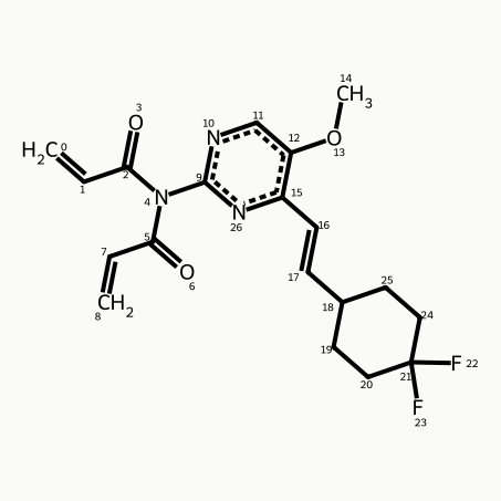 C=CC(=O)N(C(=O)C=C)c1ncc(OC)c(/C=C/C2CCC(F)(F)CC2)n1